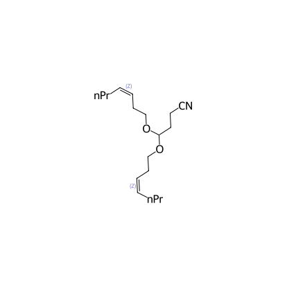 CCC/C=C\CCOC(CCC#N)OCC/C=C\CCC